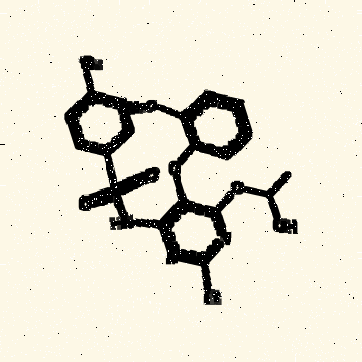 CCc1nc(NS(=O)(=O)c2ccc(C(C)(C)C)cc2)c(Oc2ccccc2OC)c(OC(C)O)n1